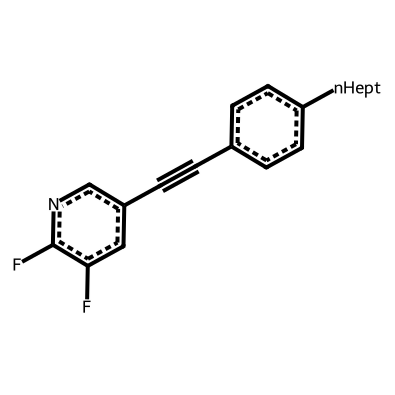 CCCCCCCc1ccc(C#Cc2cnc(F)c(F)c2)cc1